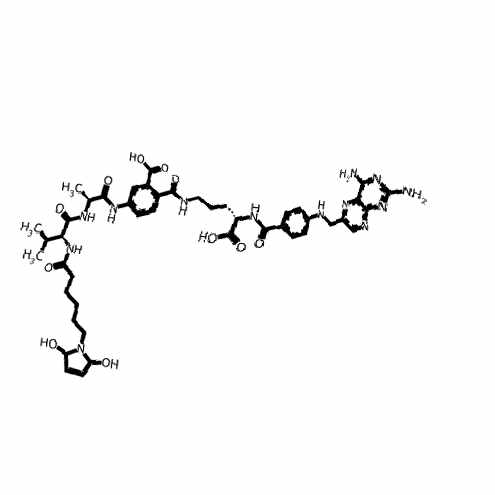 CC(C)[C@H](NC(=O)CCCCCN1C(O)C=CC1O)C(=O)N[C@@H](C)C(=O)Nc1ccc(C(=O)NCCC[C@H](NC(=O)c2ccc(NCc3cnc4nc(N)nc(N)c4n3)cc2)C(=O)O)c(C(=O)O)c1